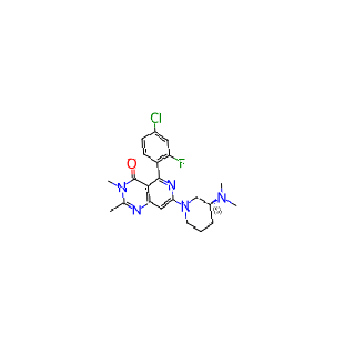 Cc1nc2cc(N3CCC[C@H](N(C)C)C3)nc(-c3ccc(Cl)cc3F)c2c(=O)n1C